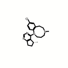 C[C@@H]1CCc2ncnc(N3CCCN(C)CCc4cc(Cl)ccc43)c21